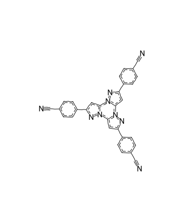 N#Cc1ccc(-c2cc3n(n2)c2cc(-c4ccc(C#N)cc4)nn2c2cc(-c4ccc(C#N)cc4)nn32)cc1